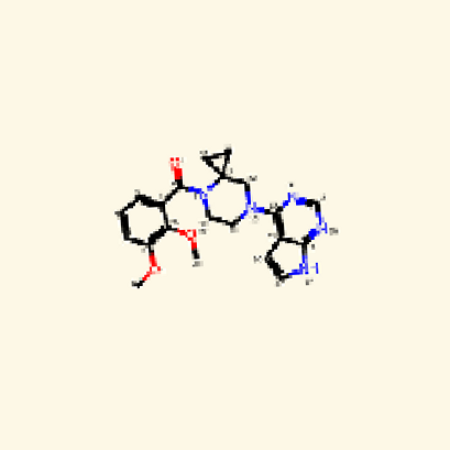 COc1cccc(C(=O)N2CCN(c3ncnc4[nH]ccc34)CC23CC3)c1OC